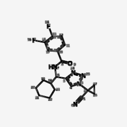 N#CC1(n2cc(C(NC(=O)c3ccc(F)c(F)c3)C3CCCCC3)nn2)CC1